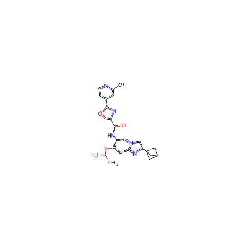 Cc1cc(-c2nc(C(=O)Nc3cn4cc(C56CC(C5)C6)nc4cc3OC(C)C)co2)ccn1